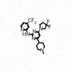 CN1CCC(c2cc(N3CCC(F)(F)C3)nc(Nc3cc(C(F)(F)F)ccn3)n2)CC1